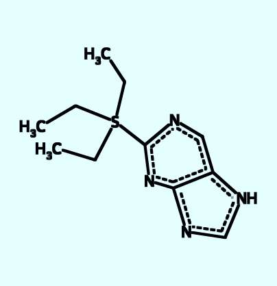 CCS(CC)(CC)c1ncc2[nH]cnc2n1